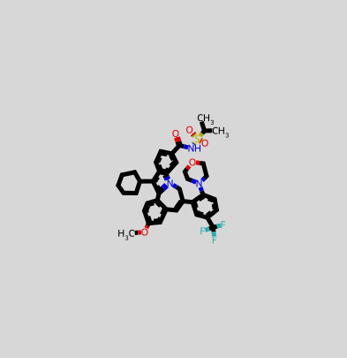 COc1ccc2c(c1)C=C(c1cc(C(F)(F)F)ccc1N1CCOCC1)Cn1c-2c(C2CCCCC2)c2ccc(C(=O)NS(=O)(=O)C(C)C)cc21